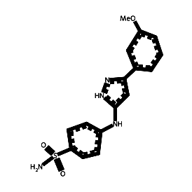 COc1cccc(-c2cc(Nc3ccc(S(N)(=O)=O)cc3)[nH]n2)c1